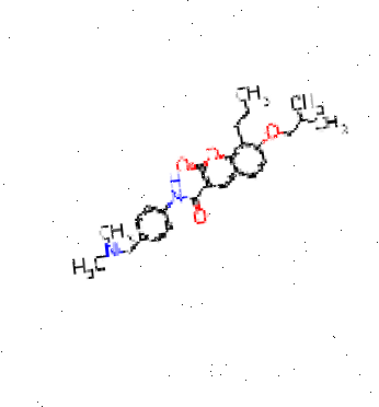 CCCc1c(OCC(C)C)ccc2cc(C(=O)Nc3ccc(CN(C)C)cc3)c(=O)oc12